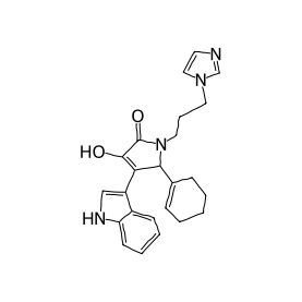 O=C1C(O)=C(c2c[nH]c3ccccc23)C(C2=CCCCC2)N1CCCn1ccnc1